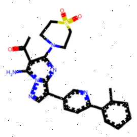 CC(=O)c1c(N2CCS(=O)(=O)CC2)nc2c(-c3ccc(-c4ccccc4C)nc3)cnn2c1N